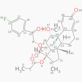 CCC(=O)O[C@]1(C(=O)OCC(=O)c2ccc(F)cc2)[C@@H](C)C[C@H]2[C@@H]3CCC4=CC(=O)C=C[C@]4(C)[C@@]3(F)[C@@H](O)C[C@@]21C